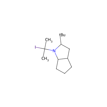 CC(C)(C)C1CC2CCCC2N1C(C)(C)I